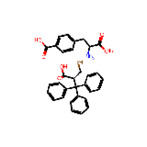 NC(Cc1ccc(C(=O)O)cc1)C(=O)O.O=C(O)[C@@H](CS)C(c1ccccc1)(c1ccccc1)c1ccccc1